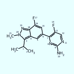 CC(C)c1c2cc(-c3nc(N)ncc3F)cc(F)c2nn1C